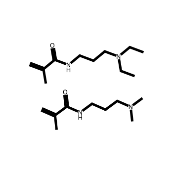 C=C(C)C(=O)NCCCN(C)C.C=C(C)C(=O)NCCCN(CC)CC